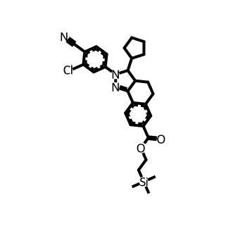 C[Si](C)(C)CCOC(=O)c1ccc2c(c1)CCC1C2=NN(c2ccc(C#N)c(Cl)c2)C1C1CCCC1